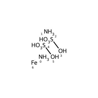 N.N.O=S(=O)(O)O.O=S(=O)(O)O.[Fe]